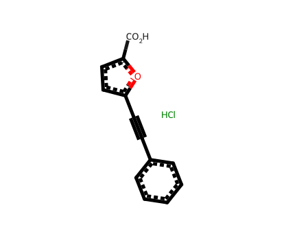 Cl.O=C(O)c1ccc(C#Cc2ccccc2)o1